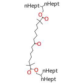 CCCCCCCC(CCCCCCC)COC(=O)C(C)(C)CCCCCC(=O)CCCCCC(C)(C)C(=O)OCC(CCCCCCC)CCCCCCC